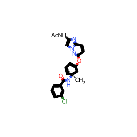 CC(=O)Nc1cn2nc(OC3=CC=C[C@](C)(NC(=O)c4cccc(Cl)c4)C3)ccc2n1